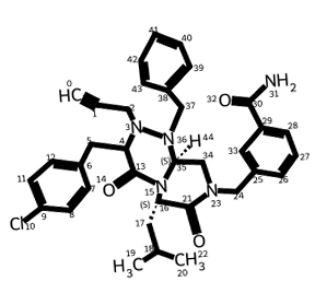 C#CCN1C(Cc2ccc(Cl)cc2)C(=O)N2[C@@H](CC(C)C)C(=O)N(Cc3cccc(C(N)=O)c3)C[C@@H]2N1Cc1ccccc1